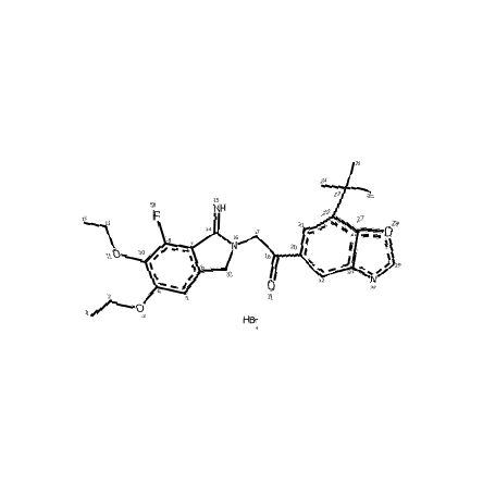 Br.CCOc1cc2c(c(F)c1OCC)C(=N)N(CC(=O)c1cc(C(C)(C)C)c3ocnc3c1)C2